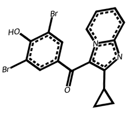 O=C(c1cc(Br)c(O)c(Br)c1)c1c(C2CC2)nc2ccccn12